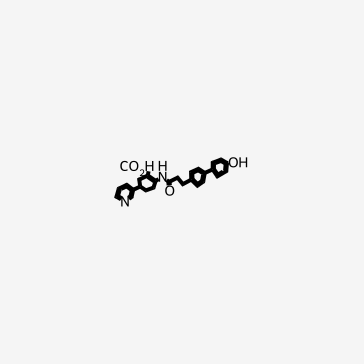 O=C(CCc1ccc(-c2ccc(O)cc2)cc1)NC1=C(C(=O)O)CC(c2cccnc2)CC1